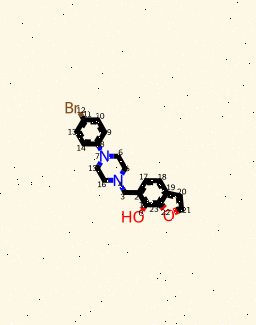 Oc1c(CN2CCN(c3ccc(Br)cc3)CC2)ccc2ccoc12